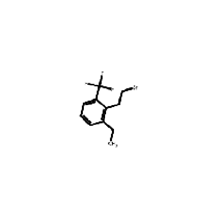 CCc1cccc(C(F)(F)F)c1CCBr